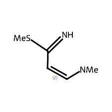 CN/C=C\C(=N)SC